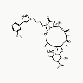 CC[C@H]1OC(=O)[C@H](C)C(=O)[C@H](C)[C@@H](O[C@@H]2O[C@H](C)CC(N(C)C)C2O)[C@](C)(OC)C[C@@H](C)CNC[C@H]2N(CCCCn3cc(-c4cccc(N)c4)nn3)C(=O)O[C@]12C